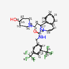 O=C(NCc1cc(C(F)(F)F)cc(C(F)(F)F)c1)N1C=Cc2ccccc2C1CCN1CCC(O)CC1